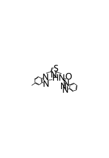 Cc1ccc2c(c1)nc(C)n2Cc1csc(CNC(=O)n2nnc3ccccc32)n1